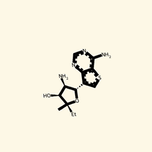 CC[C@]1(C)O[C@@H](c2csc3c(N)ncnc23)[C@H](N)[C@@H]1O